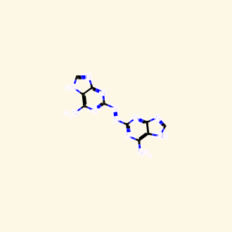 Nc1nc(N=Nc2nc(N)c3[nH]cnc3n2)nc2nc[nH]c12